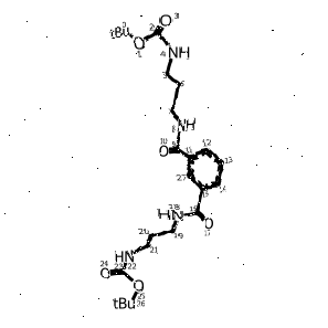 CC(C)(C)OC(=O)NCCCNC(=O)c1cccc(C(=O)NCCCNC(=O)OC(C)(C)C)c1